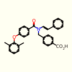 Cc1cccc(C)c1Oc1ccc(C(=O)N(C=Cc2ccccc2)Cc2ccc(C(=O)O)cc2)cc1